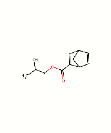 CC(C)COC(=O)C1=CC2C=CC1C2